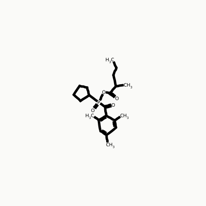 CCCC(C)C(=O)OP(=O)(C(=O)c1c(C)cc(C)cc1C)C1CCCC1